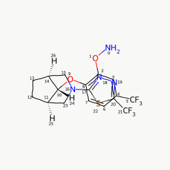 NOc1cc(C(F)(F)F)ccc1O[C@@H]1[C@@H]2CC[C@H]1CN(c1nnc(C(F)(F)F)s1)C2